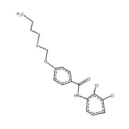 CCCCSCOc1ccc(C(=O)Nc2cccc(Cl)c2Cl)cc1